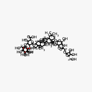 CC1(C)CC[C@]2(C(=O)O[C@@H]3O[C@H](CO)[C@H](NC(=O)CO[C@@H]4O[C@@H](CO)C(O)C4O)C(O)C3O)C(O)C[C@]3(C)C(=CCC4C5(C)CC[C@H](O[C@@H]6OC(C(=O)O)[C@@H](O)[C@H](O[C@@H]7OC[C@@H](O)[C@H](O)C7O)C6O[C@@H]6OC(CO)[C@H](O)[C@H](O)C6O)[C@](C)(C=O)[C@@H]5CC[C@@]43C)C2C1